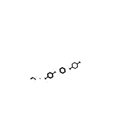 C=CC(=O)OCOC(=O)c1ccc(C(=O)Oc2ccc(OC(=O)C3CCC(C(=O)O)CC3)cc2)cc1